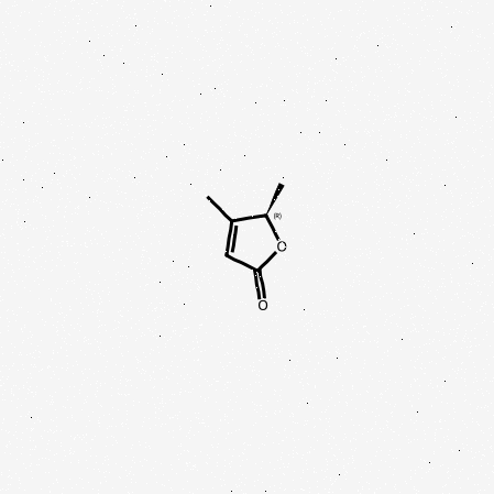 CC1=CC(=O)O[C@@H]1C